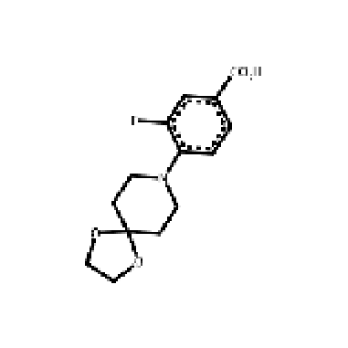 O=C(O)c1ccc(N2CCC3(CC2)OCCO3)c(F)c1